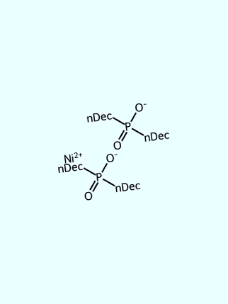 CCCCCCCCCCP(=O)([O-])CCCCCCCCCC.CCCCCCCCCCP(=O)([O-])CCCCCCCCCC.[Ni+2]